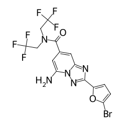 Nc1cc(C(=O)N(CC(F)(F)F)CC(F)(F)F)cc2nc(-c3ccc(Br)o3)nn12